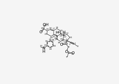 CC#C[C@]1(C(=O)COC(C)=O)CC[C@H]2[C@@H]3CCC4=CC(C(=O)O)CCC4=C3[C@@H](c3ccc(NC)cc3)C[C@@]21C